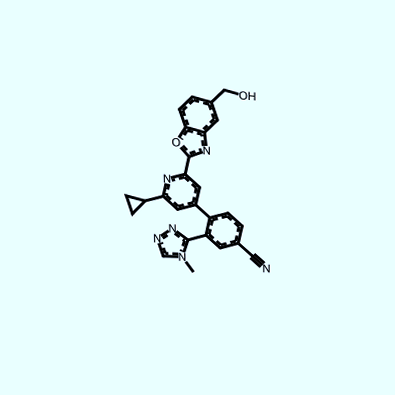 Cn1cnnc1-c1cc(C#N)ccc1-c1cc(-c2nc3cc(CO)ccc3o2)nc(C2CC2)c1